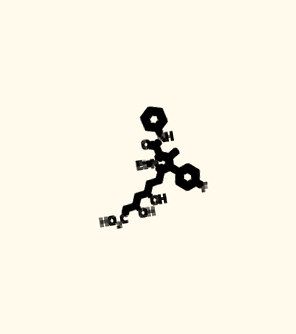 CCn1c(CC[C@@H](O)C[C@@H](O)CC(=O)O)c(-c2ccc(F)cc2)c(C)c1C(=O)Nc1ccccc1